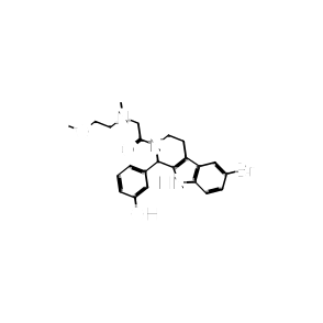 COCCN(C)CC(=O)N1CCc2c([nH]c3ccc(Br)cc23)C1c1cccc(O)c1